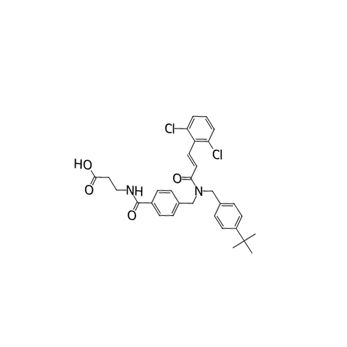 CC(C)(C)c1ccc(CN(Cc2ccc(C(=O)NCCC(=O)O)cc2)C(=O)/C=C/c2c(Cl)cccc2Cl)cc1